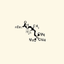 CCCCC[CH]CCCCC(=O)NCC(C)(C)CC[Si](OC)(OC)OC